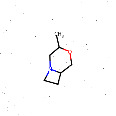 CC1CN2CCC2CO1